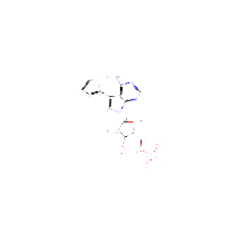 Nc1ncnc2c1c(-c1cccs1)cn2[C@@H]1O[C@H](COP(=O)(O)O)C(O)[C@@H]1O